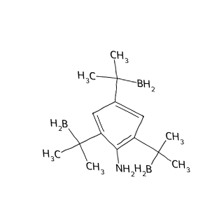 BC(C)(C)c1cc(C(B)(C)C)c(N)c(C(B)(C)C)c1